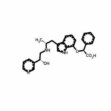 C[C@H](Cc1c[nH]c2c(O[C@H](C(=O)O)c3ccccc3)cccc12)NC[C@H](O)c1cccnc1